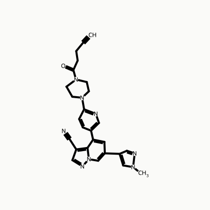 C#CCCC(=O)N1CCN(c2ccc(-c3cc(-c4cnn(C)c4)cn4ncc(C#N)c34)cn2)CC1